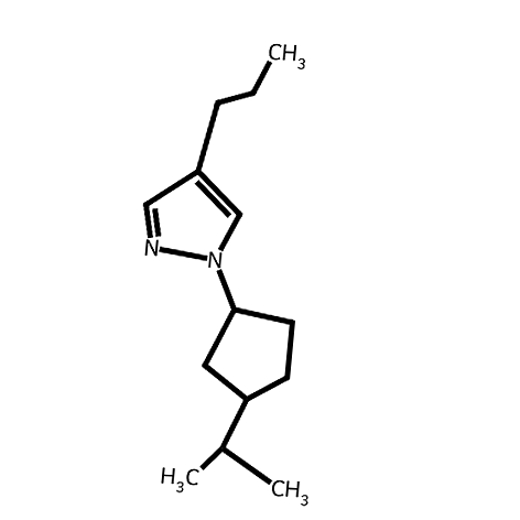 CCCc1cnn(C2CCC(C(C)C)C2)c1